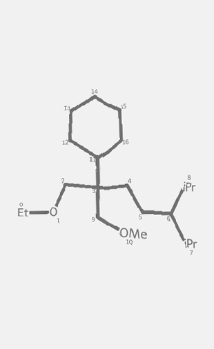 CCOCC(CCC(C(C)C)C(C)C)(COC)C1CCCCC1